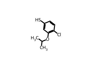 CC(C)Oc1cc(S)ccc1Cl